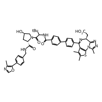 Cc1ncoc1-c1ccc(CNC(=O)[C@@H]2C[C@@H](O)CN2C(=O)C(NC(=O)c2ccc(-c3ccc(C4=N[C@@H](CC(=O)O)c5nnc(C)n5-c5sc(C)c(C)c54)cc3)cc2)C(C)(C)C)cc1